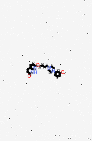 COc1cccc(N2CCN(CCCCOc3ccc4c(n3)NC(=O)CC4)CC2)c1